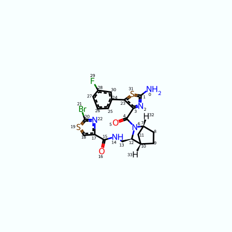 Nc1nc(C(=O)N2[C@@H]3CC[C@@H](C3)[C@H]2CNC(=O)c2csc(Br)n2)c(-c2cccc(F)c2)s1